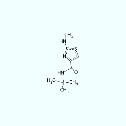 CNc1nc(C(=O)NC(C)(C)C)cs1